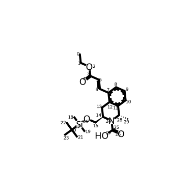 CCOC(=O)/C=C/c1cccc2c1C[C@H](CO[Si](C)(C)C(C)(C)C)N(C(=O)O)[C@H]2C